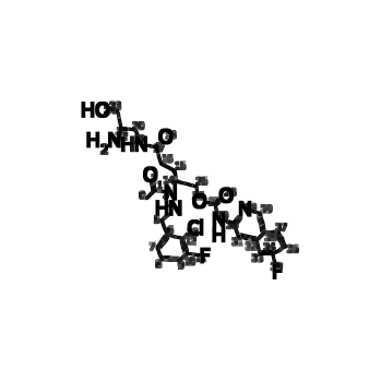 CC(=O)N(NCc1cccc(F)c1Cl)[C@@H](CCC(=O)NC[C@@H](N)CO)COC(=O)Nc1cc2cc(F)ccc2cn1